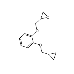 c1ccc(OCC2CO2)c(OCC2CC2)c1